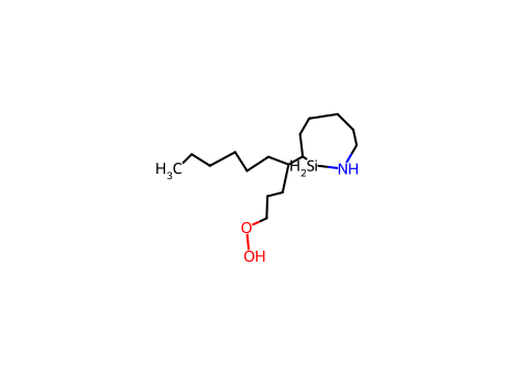 CCCCCCC(CCCOO)C1CCCCCN[SiH2]1